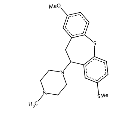 COc1ccc2c(c1)CC(N1CCN(C)CC1)c1cc(SC)ccc1S2